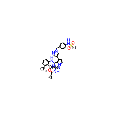 CCS(=O)(=O)Nc1ccc(Cn2cc(-c3ccn4nc(NC(=O)C5CC5)nc(Nc5cccc(C(F)(F)F)c5OC)c34)cn2)cc1